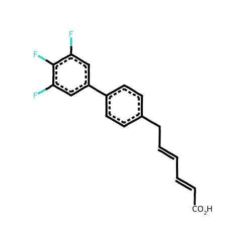 O=C(O)/C=C/C=C/Cc1ccc(-c2cc(F)c(F)c(F)c2)cc1